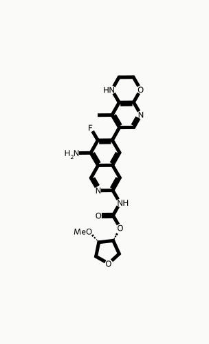 CO[C@H]1COC[C@H]1OC(=O)Nc1cc2cc(-c3cnc4c(c3C)NCCO4)c(F)c(N)c2cn1